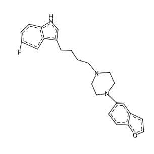 Fc1ccc2[nH]cc(CCCCN3CCN(c4ccc5occc5c4)CC3)c2c1